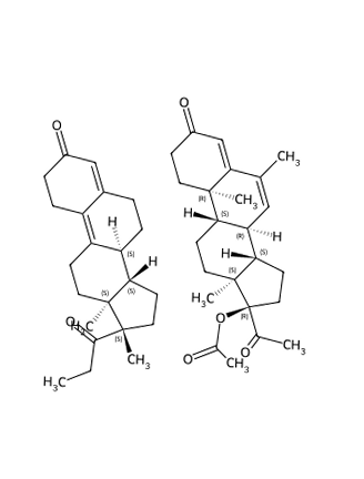 CC(=O)O[C@]1(C(C)=O)CC[C@H]2[C@@H]3C=C(C)C4=CC(=O)CC[C@]4(C)[C@H]3CC[C@@]21C.CCC(=O)[C@@]1(C)CC[C@H]2[C@@H]3CCC4=CC(=O)CCC4=C3CC[C@@]21C